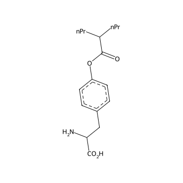 CCCC(CCC)C(=O)Oc1ccc(CC(N)C(=O)O)cc1